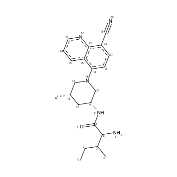 CCC(C)C(N)C(=O)N[C@@H]1C[C@H](C)CN(c2ccc(C#N)c3ncccc23)C1